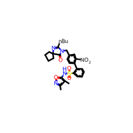 CCCCC1=NC2(CCCC2)C(=O)N1Cc1ccc(-c2ccccc2S(=O)(=O)Nc2onc(C)c2C)c([N+](=O)[O-])c1